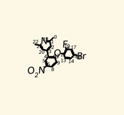 Cc1cc(-c2cc([N+](=O)[O-])ccc2Oc2ccc(Br)cc2F)cc(C)n1